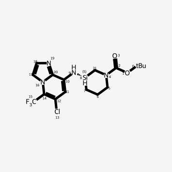 CC(C)(C)OC(=O)N1CCC[Si@H](Nc2cc(Cl)c(C(F)(F)F)n3ccnc23)C1